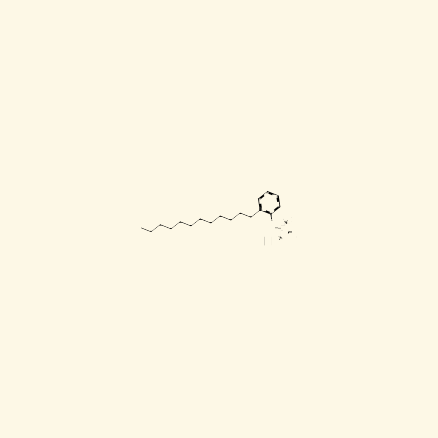 CCCCCCCCCCCCc1ccccc1SP(O)(O)=S